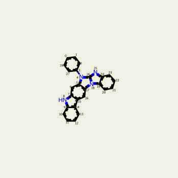 c1ccc(-n2c3cc4[nH]c5ccccc5c4cc3n3c4ccccc4nc23)cc1